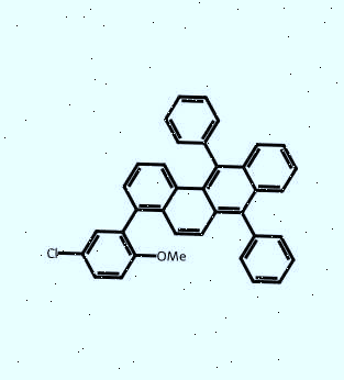 COc1ccc(Cl)cc1-c1cccc2c1ccc1c(-c3ccccc3)c3ccccc3c(-c3ccccc3)c12